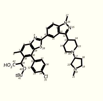 Cc1cc2nc(-c3ccc4c(c3)c(C3CCN([C@H]5CCN(C)C5)CC3)nn4C)sc2c(-c2ccc(Cl)cc2)c1C(OC(C)(C)C)C(=O)O